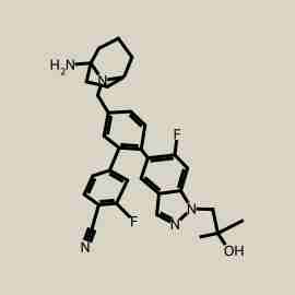 CC(C)(O)Cn1ncc2cc(-c3ccc(CN4C5CCCC4(N)CC5)cc3-c3ccc(C#N)c(F)c3)c(F)cc21